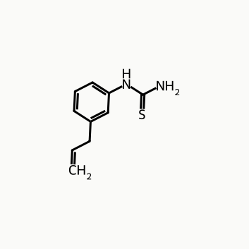 C=CCc1cccc(NC(N)=S)c1